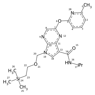 Cc1cccc(Oc2cnc3c(n2)c(C(=O)NC(C)C)cn3COCC[Si](C)(C)C)n1